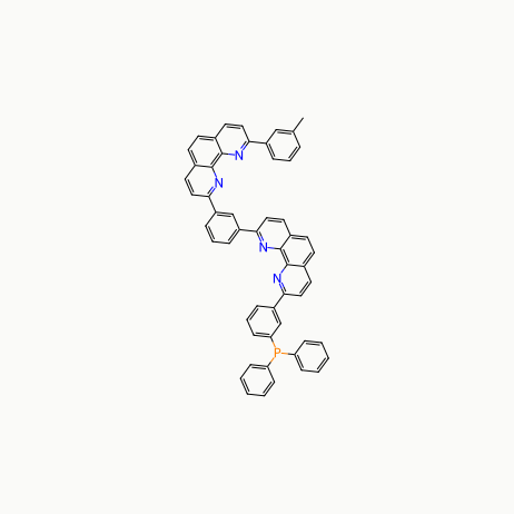 Cc1cccc(-c2ccc3ccc4ccc(-c5cccc(-c6ccc7ccc8ccc(-c9cccc(P(c%10ccccc%10)c%10ccccc%10)c9)nc8c7n6)c5)nc4c3n2)c1